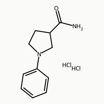 Cl.Cl.NC(=O)C1CCN(c2ccccc2)C1